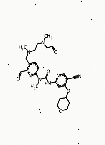 CN(CC=O)CCN(C)Cc1ccc(N(C)C(=O)Nc2cc(OC3CCOCC3)c(C#N)cn2)nc1C=O